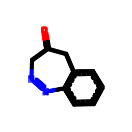 O=C1CN=Nc2ccccc2C1